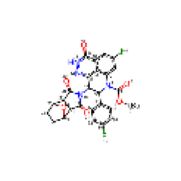 CC(C)(C)OC(=O)N1c2cc(F)cc3c(=O)[nH]nc(c23)C(N2C(=O)C3C4CCC(O4)C3C2=O)C1c1ccc(F)cc1